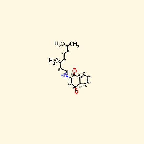 CC(C)=CCCC(C)=CCNC1=CC(=O)c2ccccc2C1=O